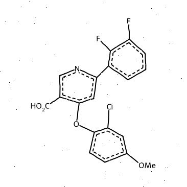 COc1ccc(Oc2cc(-c3cccc(F)c3F)ncc2C(=O)O)c(Cl)c1